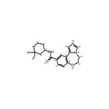 O=C(NC1CCCC(F)(F)C1)c1ccc2c(c1)-c1cncn1CCO2